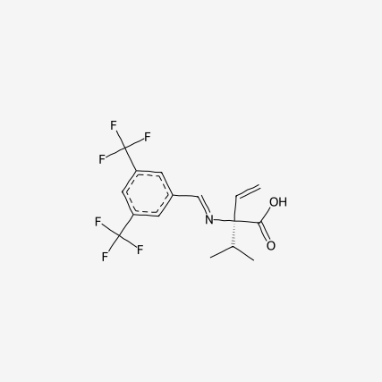 C=C[C@](/N=C/c1cc(C(F)(F)F)cc(C(F)(F)F)c1)(C(=O)O)C(C)C